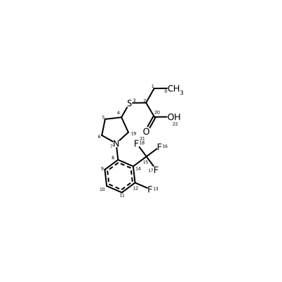 CCC(SC1CCN(c2cccc(F)c2C(F)(F)F)C1)C(=O)O